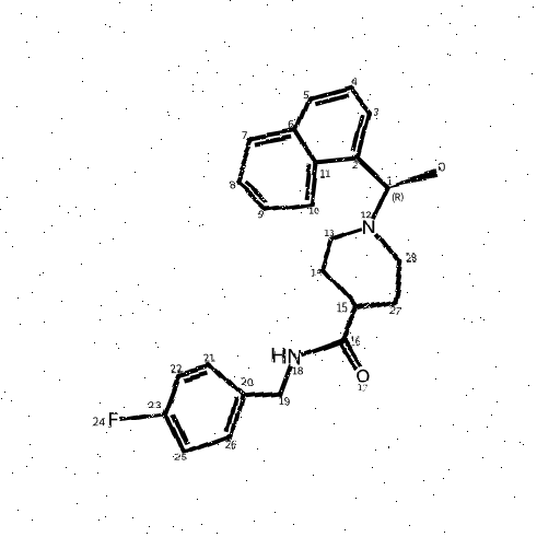 C[C@H](c1cccc2ccccc12)N1CCC(C(=O)NCc2ccc(F)cc2)CC1